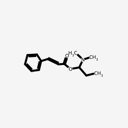 CCC(OC(=O)/C=C/c1ccccc1)N(C)C